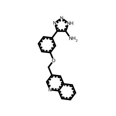 Nc1[nH]nnc1-c1cccc(OCc2cnc3ccccc3c2)c1